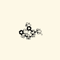 COc1ccc(-c2nc(Nc3nnc(C(=O)Nc4c(C)cccc4Cl)o3)nc(N(C)C)n2)cc1